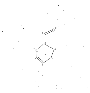 O=[C]C1CCC=CO1